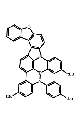 CC(C)(C)c1ccc(N2B3c4cc(C(C)(C)C)ccc4-n4c5ccc6oc7ccccc7c6c5c5ccc(c3c54)-c3cc(C(C)(C)C)ccc32)cc1